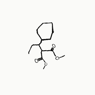 CCC(C1CCCCC1)C(C(=O)OC)C(=O)OC